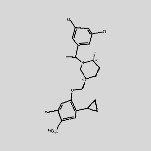 CC(c1cc(Cl)cc(Cl)c1)N1C[C@H](COc2cc(F)c(C(=O)O)cc2C2CC2)CC[C@H]1C